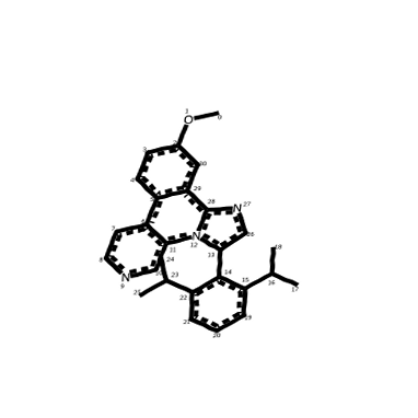 COc1ccc2c3ccncc3n3c(-c4c(C(C)C)cccc4C(C)C)cnc3c2c1